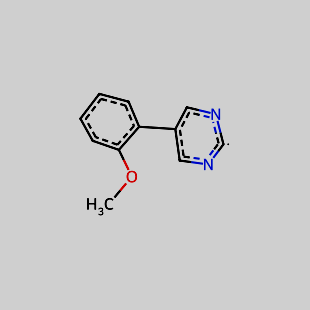 COc1ccccc1-c1cn[c]nc1